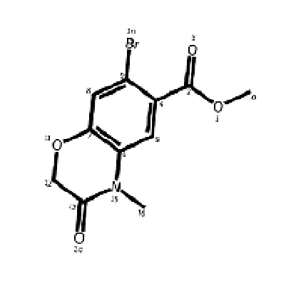 COC(=O)c1cc2c(cc1Br)OCC(=O)N2C